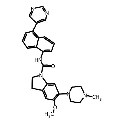 COc1cc2c(cc1N1CCN(C)CC1)N(C(=O)Nc1cccc3c(-c4cncnc4)cccc13)CC2